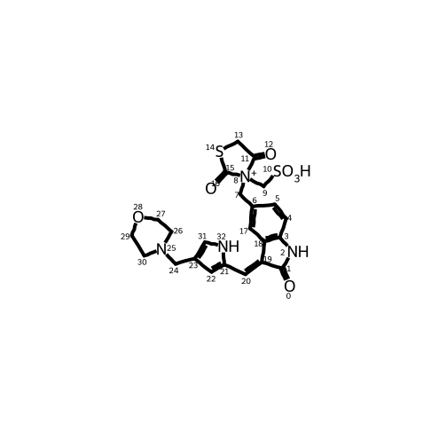 O=C1Nc2ccc(C[N+]3(CS(=O)(=O)O)C(=O)CSC3=O)cc2C1=Cc1cc(CN2CCOCC2)c[nH]1